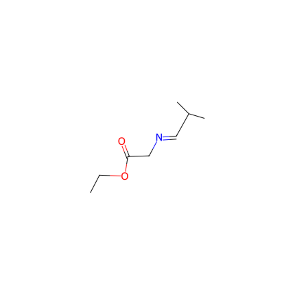 CCOC(=O)CN=CC(C)C